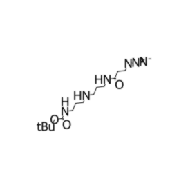 CC(C)(C)OC(=O)NCCCNCCCNC(=O)CCN=[N+]=[N-]